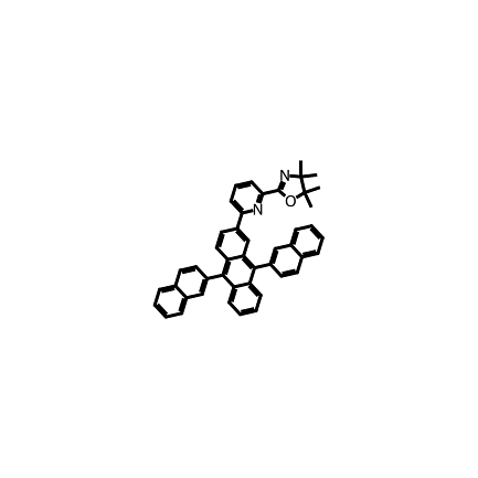 CC1(C)N=C(c2cccc(-c3ccc4c(-c5ccc6ccccc6c5)c5ccccc5c(-c5ccc6ccccc6c5)c4c3)n2)OC1(C)C